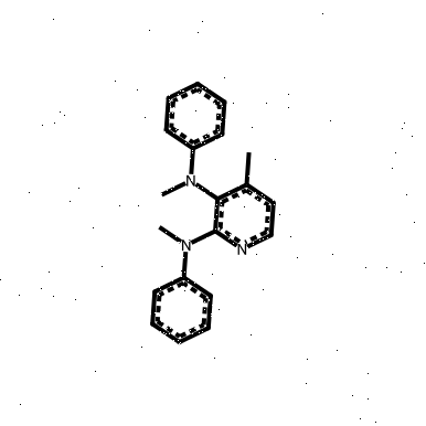 Cc1ccnc(N(C)c2ccccc2)c1N(C)c1ccccc1